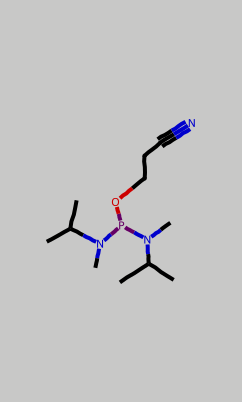 CC(C)N(C)P(OCCC#N)N(C)C(C)C